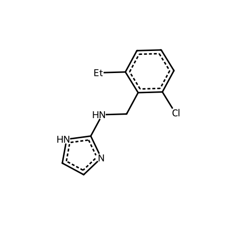 CCc1cccc(Cl)c1CNc1ncc[nH]1